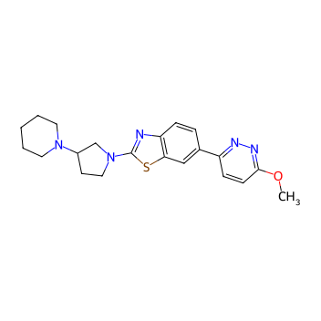 COc1ccc(-c2ccc3nc(N4CCC(N5CCCCC5)C4)sc3c2)nn1